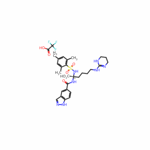 Cc1cc(C)c(S(=O)(=O)N[C@](CCCCNC2=NCCCN2)(NC(=O)c2ccc3[nH]ncc3c2)C(=O)O)c(C)c1.O=C(O)C(F)(F)F